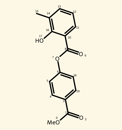 COC(=O)c1ccc(OC(=O)c2cccc(C)c2O)cc1